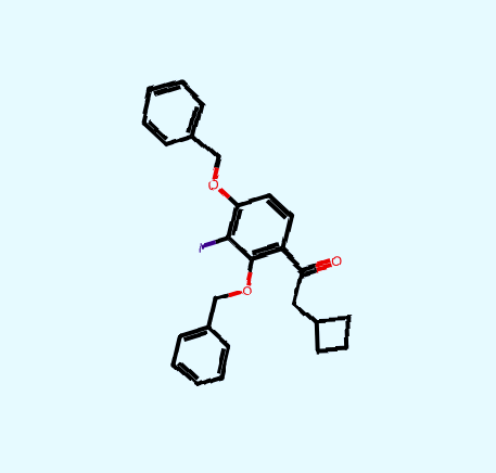 O=C(CC1CCC1)c1ccc(OCc2ccccc2)c(I)c1OCc1ccccc1